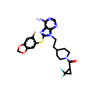 Nc1ncnc2c1nc(Sc1cc3c(cc1Br)OCO3)n2CCC1CCN(C(=O)C2CC2(F)F)CC1